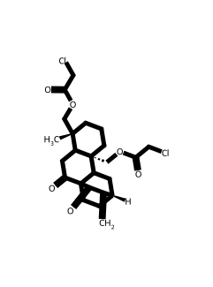 C=C1C(=O)C23CC[C@H]1CC2[C@]1(COC(=O)CCl)CCC[C@@](C)(COC(=O)CCl)C1CC3=O